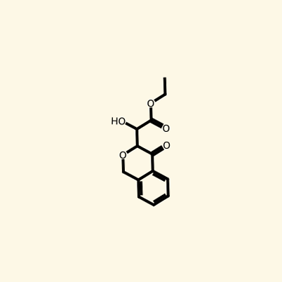 CCOC(=O)C(O)C1OCc2ccccc2C1=O